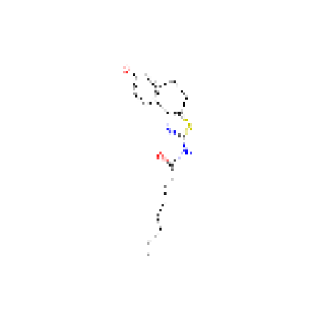 CCCCCCCC(=O)Nc1nc2c(s1)CCc1cc(OC)ccc1-2